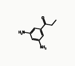 CCC(=O)c1cc(N)cc(N)c1